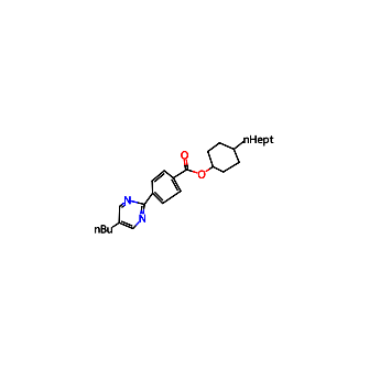 CCCCCCCC1CCC(OC(=O)c2ccc(-c3ncc(CCCC)cn3)cc2)CC1